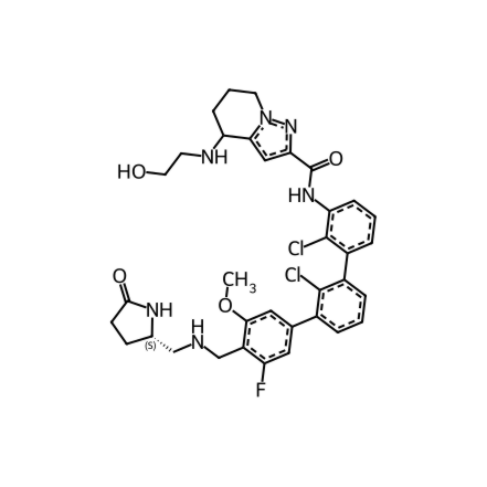 COc1cc(-c2cccc(-c3cccc(NC(=O)c4cc5n(n4)CCCC5NCCO)c3Cl)c2Cl)cc(F)c1CNC[C@@H]1CCC(=O)N1